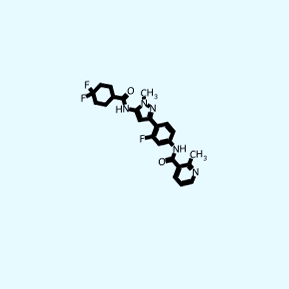 Cc1ncccc1C(=O)Nc1ccc(-c2cc(NC(=O)C3CCC(F)(F)CC3)n(C)n2)c(F)c1